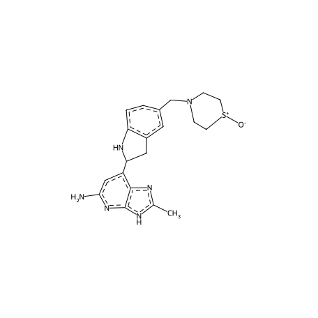 Cc1nc2c(C3Cc4cc(CN5CC[S+]([O-])CC5)ccc4N3)cc(N)nc2[nH]1